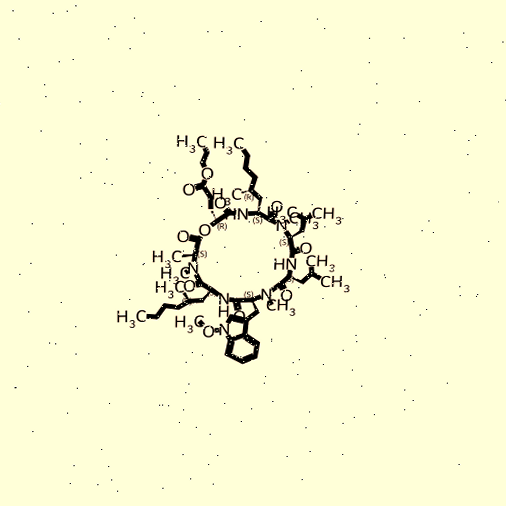 CCCC[C@@H](C)C[C@@H]1NC(=O)[C@H](Cc2cn(OC)c3ccccc23)N(C)C(=O)[C@H](CC(C)C)NC(=O)[C@H](CC(C)C)N(C)C(=O)[C@H](C[C@H](C)CCCC)NC(=O)[C@@H](CCC(=O)OCCC)OC(=O)[C@H](C)N(C)C1=O